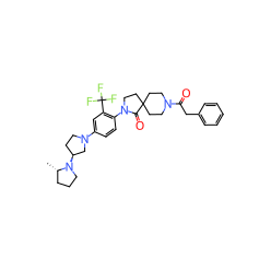 C[C@H]1CCCN1[C@H]1CCN(c2ccc(N3CCC4(CCN(C(=O)Cc5ccccc5)CC4)C3=O)c(C(F)(F)F)c2)C1